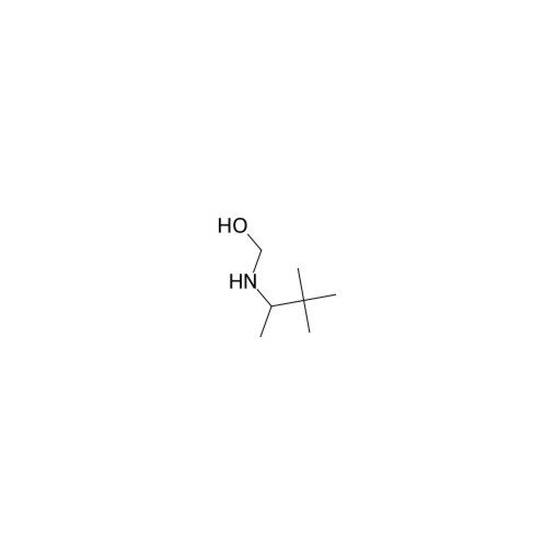 CC(NCO)C(C)(C)C